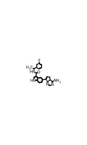 CC(NC(=O)c1c[nH]c2ccc(C3=CCC4C(N)=NC=NN34)cc12)C1C=CC=C(F)C1